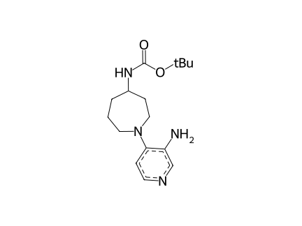 CC(C)(C)OC(=O)NC1CCCN(c2ccncc2N)CC1